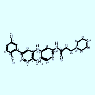 Cc1nnc(-c2cc(Cl)ccc2F)cc1Nc1ccnc(NC(=O)CCN2CCSCC2)c1